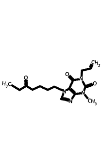 C=CCn1c(=O)c2c(ncn2CCCCC(=O)CC)n(C)c1=O